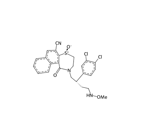 CONCC[C@H](CN1CC[S@+]([O-])c2c(C#N)cc3ccccc3c2C1=O)c1ccc(Cl)c(Cl)c1